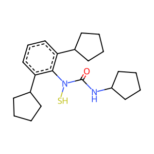 O=C(NC1CCCC1)N(S)c1c(C2CCCC2)cccc1C1CCCC1